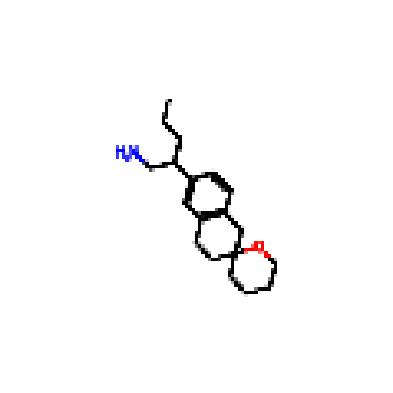 CCCC(CN)c1ccc2c(c1)CCC1(CCCCO1)C2